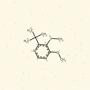 COc1ncnc(C(C)(C)C)c1SC